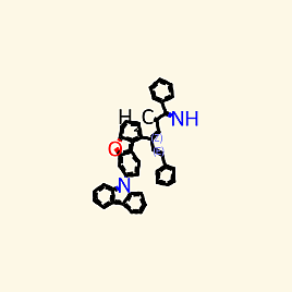 C=C(/C=C(/C=C/c1ccccc1)c1cccc2oc3cc(-n4c5ccccc5c5ccccc54)ccc3c12)C(=N)c1ccccc1